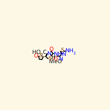 CO/N=C(\C(=O)N[C@@H]1C(=O)N2C(C(=O)O)=C([C@H]3CCC(=O)S3)CS[C@H]12)c1csc(N)n1